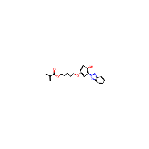 C=C(C)C(=O)OCCCCCOc1ccc(O)c(-n2nc3ccccc3n2)c1